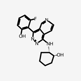 Oc1cccc(F)c1-c1nnc(N[C@H]2CCCC[C@H]2O)c2ccncc12